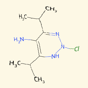 CC(C)C1=NN(Cl)NC(C(C)C)=C1N